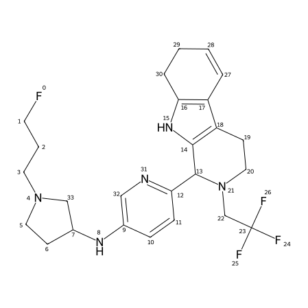 FCCCN1CCC(Nc2ccc(C3c4[nH]c5c(c4CCN3CC(F)(F)F)C=CCC5)nc2)C1